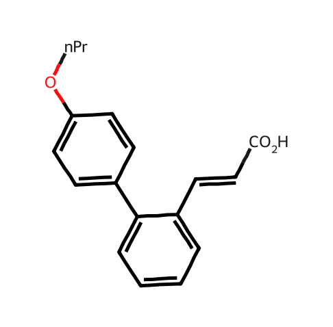 CCCOc1ccc(-c2ccccc2/C=C/C(=O)O)cc1